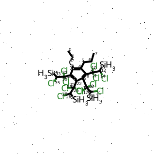 CCCc1c(CCC)c(C(Cl)(Cl)C([SiH3])Cl)c(C(Cl)(Cl)C([SiH3])Cl)c(C(Cl)(Cl)C([SiH3])Cl)c1C(Cl)(Cl)C([SiH3])Cl